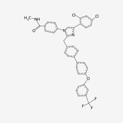 CNC(=O)c1ccc(-n2cc(-c3ccc(Cl)cc3Cl)nc2Cc2ccc(-c3ccc(Oc4cccc(C(F)(F)F)c4)cc3)cc2)cc1